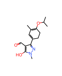 CC1=C(OC(C)C)CCC(c2nn(C)c(O)c2C=O)=C1